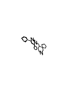 CN1CCC(Cn2cnc(-c3ccccc3)cc2=O)C2(CCCC2)C1